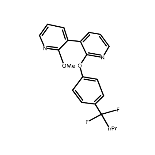 CCCC(F)(F)c1ccc(Oc2ncccc2-c2cccnc2OC)cc1